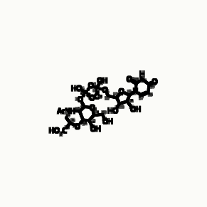 CC(=O)NC1C(OP(=O)(O)OP(=O)(O)OCC2OC(n3ccc(=O)[nH]c3=O)C(O)C2O)OC(CO)C(O)C1OC(C)C(=O)O